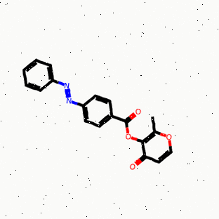 Cc1occc(=O)c1OC(=O)c1ccc(/N=N/c2ccccc2)cc1